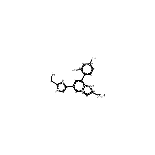 CC(C)Cc1ncc(-c2cc(-c3ccc(F)cc3F)c3nc(C(=O)O)cn3c2)s1